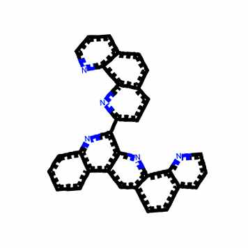 c1cnc2c(c1)ccc1ccc(-c3nc4ccccc4c4cc5ccc6cccnc6c5nc34)nc12